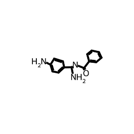 NC(=NC(=O)c1ccccc1)c1ccc(N)cc1